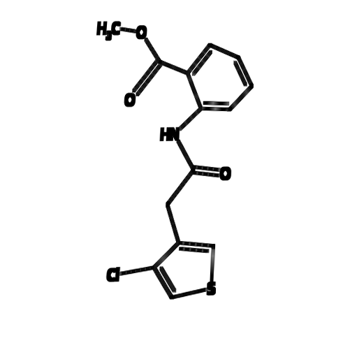 COC(=O)c1ccccc1NC(=O)Cc1cscc1Cl